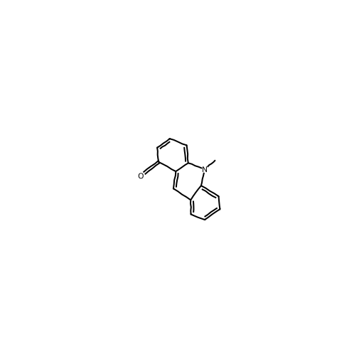 Cn1c2cccc(=O)c-2cc2ccccc21